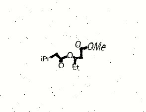 CCC(CC(=O)OC)OC(=O)CC(C)C